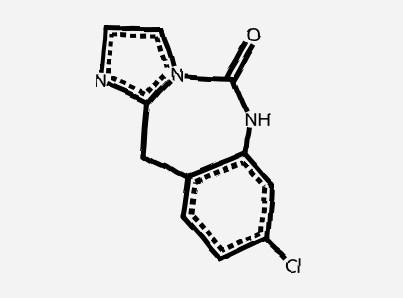 O=C1Nc2cc(Cl)ccc2Cc2nccn21